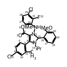 COC(=O)C1=C(c2ccc(Cl)cc2C)N(C(C)C)C(c2ccccc2OC)N1Nc1cccc(Cl)c1F